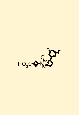 O=C(O)C12CC(n3nc4n(c3=O)C(c3cc(F)cc(F)c3)CC4)(C1)C2